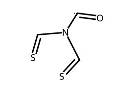 O=[C]N(C=S)C=S